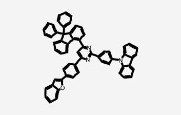 c1ccc(C2(c3ccccc3)c3ccccc3-c3c(-c4cc(-c5ccc(-c6cc7ccccc7o6)cc5)nc(-c5ccc(-n6c7ccccc7c7ccccc76)cc5)n4)cccc32)cc1